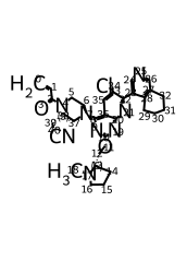 C=CC(=O)N1CCN(c2nc(OC[C@@H]3CCCN3C)nc3nc(-c4cncc5c4CCCC5)c(Cl)cc23)C[C@@H]1CC#N